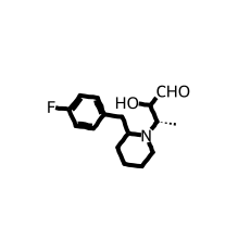 C[C@@H](C(O)C=O)N1CCCCC1Cc1ccc(F)cc1